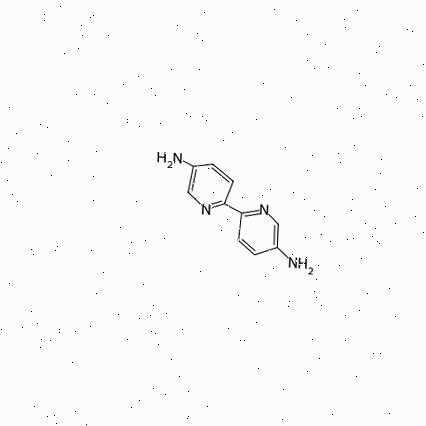 Nc1ccc(-c2ccc(N)cn2)nc1